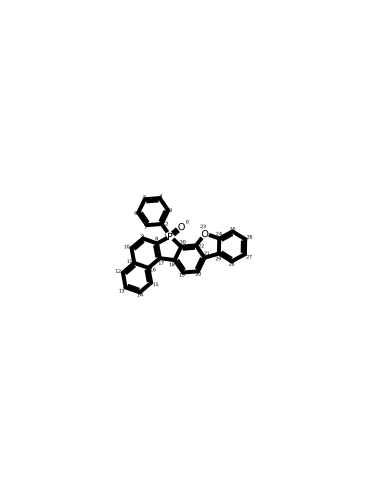 O=P1(c2ccccc2)c2ccc3ccccc3c2-c2ccc3c(oc4ccccc43)c21